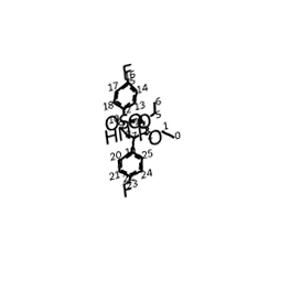 CCOP(OCC)C(NS(=O)(=O)c1ccc(F)cc1)c1ccc(F)cc1